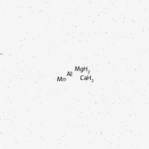 [Al].[CaH2].[MgH2].[Mn]